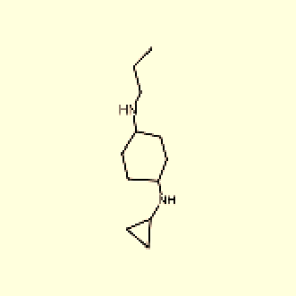 CCCNC1CCC(NC2CC2)CC1